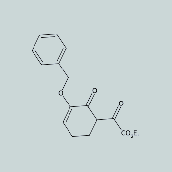 CCOC(=O)C(=O)C1CCC=C(OCc2ccccc2)C1=O